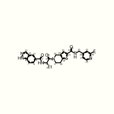 CCC(NC(=O)c1ccc2[nH]ncc2c1)C(=O)N1CCc2sc(C(=O)NCc3ccnc(F)c3)cc2C1